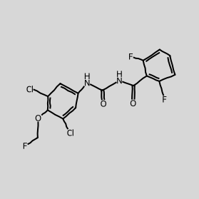 O=C(NC(=O)c1c(F)cccc1F)Nc1cc(Cl)c(OCF)c(Cl)c1